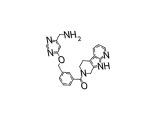 NCc1cc(OCc2cccc(C(=O)N3CCc4c([nH]c5ncccc45)C3)c2)ncn1